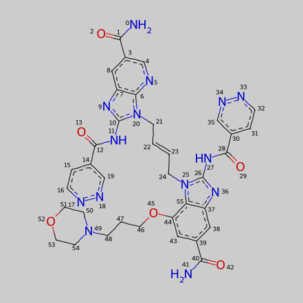 NC(=O)c1cnc2c(c1)nc(NC(=O)c1ccnnc1)n2C/C=C/Cn1c(NC(=O)c2ccnnc2)nc2cc(C(N)=O)cc(OCCCN3CCOCC3)c21